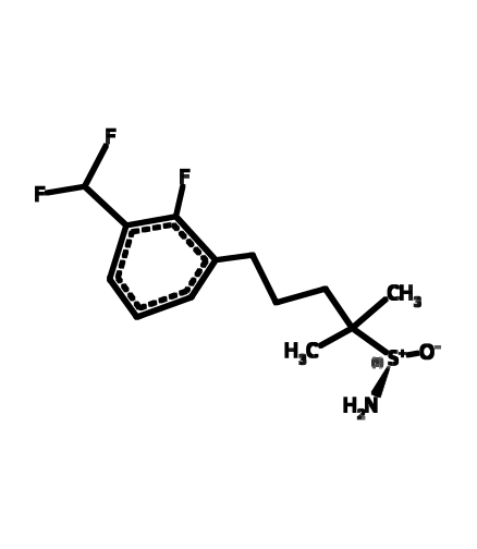 CC(C)(CCCc1cccc(C(F)F)c1F)[S@+](N)[O-]